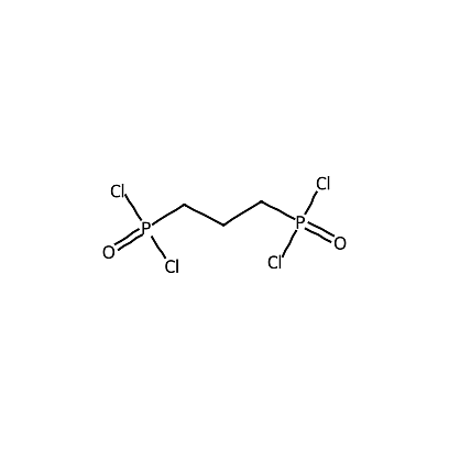 O=P(Cl)(Cl)CCCP(=O)(Cl)Cl